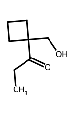 CCC(=O)C1(CO)CCC1